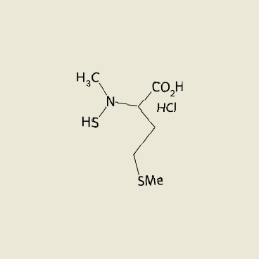 CSCCC(C(=O)O)N(C)S.Cl